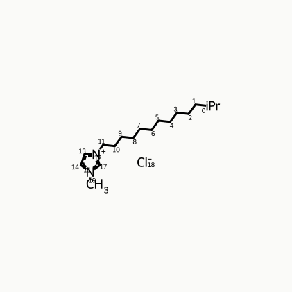 CC(C)CCCCCCCCCCC[n+]1ccn(C)c1.[Cl-]